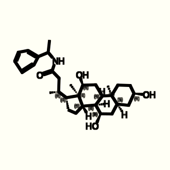 CC(NC(=O)C[C@@H](C)[C@H]1CC[C@H]2[C@@H]3[C@H](O)C[C@@H]4C[C@H](O)CC[C@]4(C)[C@H]3C[C@H](O)[C@]12C)c1ccccc1